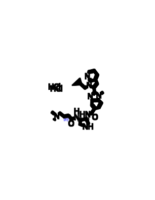 CN(C)C/C=C/C(=O)N[C@@H]1CNC[C@H]1NC(=O)c1ccc2c(c1)nc(-c1cc3cccnc3n1CC1CC1)n2C.Cl.Cl